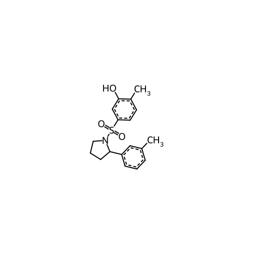 Cc1cccc(C2CCCN2S(=O)(=O)c2ccc(C)c(O)c2)c1